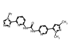 Cc1cc(-c2ccc(NC(=O)Nc3cccc(-c4nncn4C(C)C)n3)nc2)n(C)n1